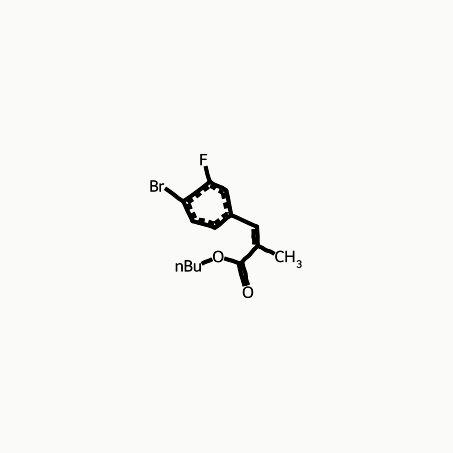 CCCCOC(=O)C(C)=Cc1ccc(Br)c(F)c1